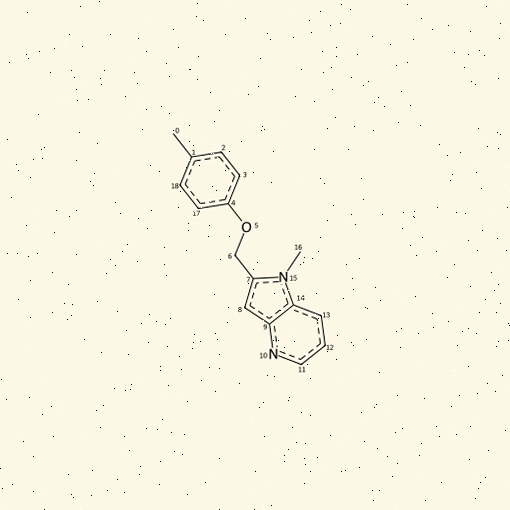 Cc1ccc(OCc2cc3ncccc3n2C)cc1